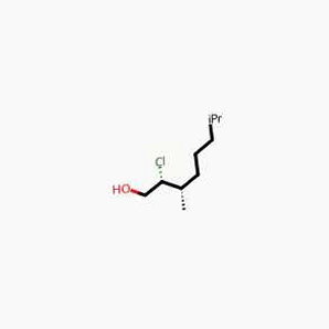 CC(C)CCC[C@H](C)[C@@H](Cl)CO